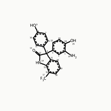 Nc1cc(C2(c3ccc(O)cc3)C(=O)Nc3c(C(F)(F)F)cccc32)ccc1O